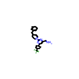 NCc1cc(-c2ccc(C(F)(F)F)cc2)nc(N2CCC(Cc3ccccc3)CC2)n1